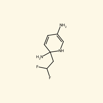 NC1=CNC(N)(CC(F)F)C=C1